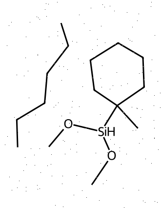 CCCCCC.CO[SiH](OC)C1(C)CCCCC1